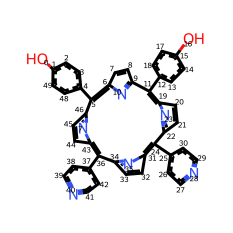 Oc1ccc(C2=C3C=CC(=N3)C(c3ccc(O)cc3)=C3C=CC(=N3)C(c3ccncc3)=C3C=CC(=N3)C(c3ccncc3)=C3C=CC2=N3)cc1